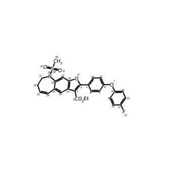 CCOC(=O)c1c(-c2ccc(Oc3ccc(F)cc3)cc2)oc2cc3c(cc12)C=CCCN3S(C)(=O)=O